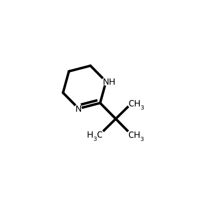 CC(C)(C)C1=NCCCN1